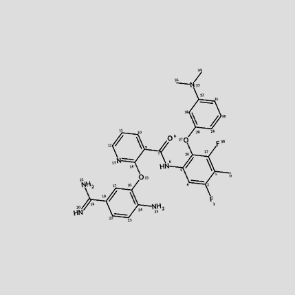 Cc1c(F)cc(NC(=O)c2cccnc2Oc2cc(C(=N)N)ccc2N)c(Oc2cccc(N(C)C)c2)c1F